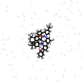 Cc1cc2c3c(c1)N(c1ccc(C(C)(C)C)cc1-c1ccccc1)c1oc4cc5c(cc4c1B3N(c1ccc(C(C)(C)C)cc1)c1c-2ccc2c1oc1ccccc12)C(C)(C)CCC5(C)C